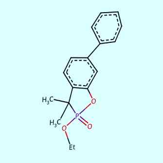 CCOP1(=O)Oc2cc(-c3ccccc3)ccc2C1(C)C